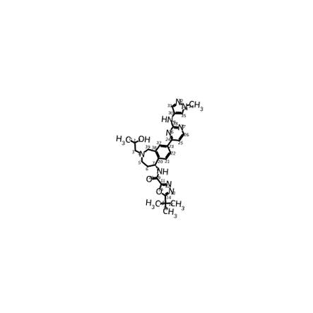 CC(O)CN1CC[C@H](NC(=O)c2nnc(C(C)(C)C)o2)c2ccc(-c3ccnc(Nc4cnn(C)c4)n3)cc2C1